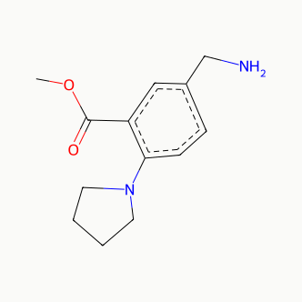 COC(=O)c1cc(CN)ccc1N1CCCC1